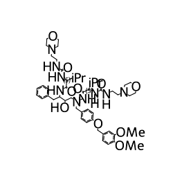 COc1ccc(COc2ccc(CN(CC(O)C(Cc3ccccc3)NC(=O)[C@@H](NC(=O)NCCN3CCOCC3)C(C)C)NC(=O)[C@@H](NC(=O)NCCN3CCOCC3)C(C)C)cc2)cc1OC